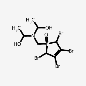 CC(O)N(CP1(=O)C(Br)C(Br)=C(Br)C1Br)C(C)O